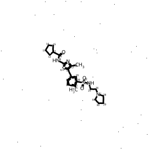 Cc1ccc(-c2sc(NC(=O)C3CCCC3)nc2C)cc1S(=O)(=O)NCCN1CCCC1